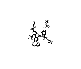 CCCNC(=O)c1ccc(-c2cc3c(cc2C(=O)Nc2c(C)cc(CNC(=O)OC(C)(C)C)cc2C(=O)OCC[Si](C)(C)C)-c2sccc2CCO3)c(C(=O)OC)n1